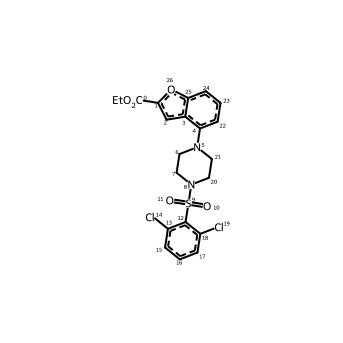 CCOC(=O)c1cc2c(N3CCN(S(=O)(=O)c4c(Cl)cccc4Cl)CC3)cccc2o1